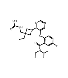 CCN(C(=O)c1cc(F)ccc1Oc1cncnc1N1CC(CC)(CNC(=O)O)C1)C(C)C